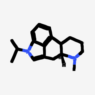 CC(C)n1cc2c3c(cccc31)C1C[CH]CN(C)[C@@H]1C2